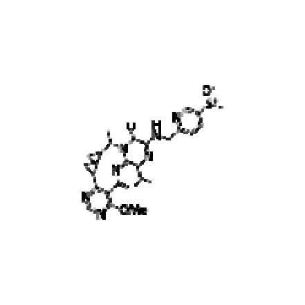 C=C(/N=C1\C(=C(C)C)N=C(NCc2ccc([S+](C)[O-])cn2)C(=O)N1C(C)C1CC1)c1c(OC)ncnc1C1CC1